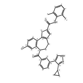 Cc1cccc(F)c1NC(=O)c1cc2c(s1)-c1ccc(Cl)cc1N(C(=O)c1cccc(-c3c[nH]nc3C3CC3)n1)CC2